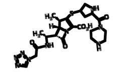 C[C@@H](NC(=O)Cn1cnnn1)[C@H]1C(=O)N2C(C(=O)O)=C(SC3CNC(C(=O)N4CCNCC4)C3)[C@H](C)[C@@H]12